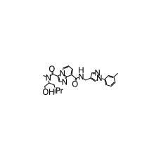 Cc1cccc(-n2cc(CNC(=O)c3cccn4c(C(=O)N(C)C(CO)CC(C)C)cnc34)cn2)c1